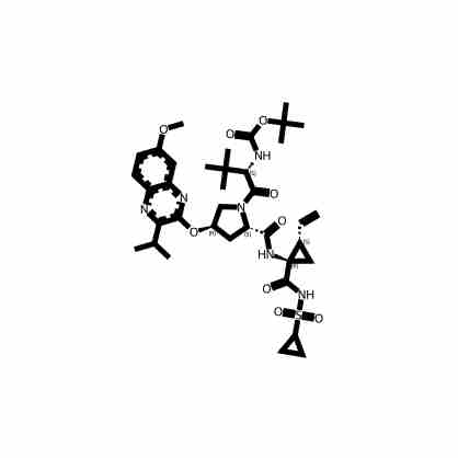 C=C[C@@H]1C[C@]1(NC(=O)[C@@H]1C[C@@H](Oc2nc3cc(OC)ccc3nc2C(C)C)CN1C(=O)[C@@H](NC(=O)OC(C)(C)C)C(C)(C)C)C(=O)NS(=O)(=O)C1CC1